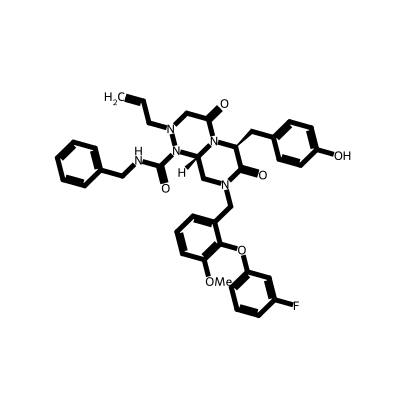 C=CCN1CC(=O)N2[C@@H](Cc3ccc(O)cc3)C(=O)N(Cc3cccc(OC)c3Oc3cccc(F)c3)C[C@@H]2N1C(=O)NCc1ccccc1